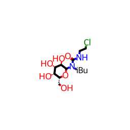 CCC(C)N(C(=O)NCCCl)C1O[C@H](CO)[C@H](O)[C@H](O)[C@H]1O